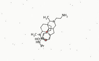 CC(C)NC(=O)N(C)C1CCC23CCC1C21c2cc(O)ccc2CC1CN(CCN)C3C